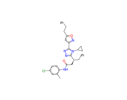 Cc1cc(Cl)ccc1NC(=O)C[C@H](CC(C)C)c1nnc(-c2cc(CCC(C)C)on2)n1C1CC1